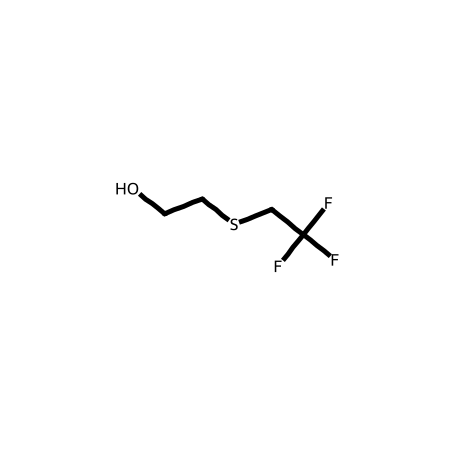 OCCSCC(F)(F)F